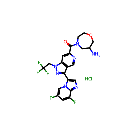 Cl.NC1COCCN(C(=O)c2cc3c(cn2)c(-c2cnc4c(F)cc(F)cn24)nn3CC(F)(F)F)C1